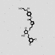 CC(=O)N(CCO)c1ccc(OC(=O)c2ccc(CCC[C@@H]3[C@@H](CCc4cc(Cl)cc(Cl)c4)[C@H](O)C[C@H]3Cl)s2)cc1